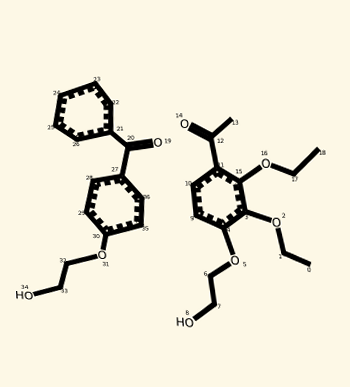 CCOc1c(OCCO)ccc(C(C)=O)c1OCC.O=C(c1ccccc1)c1ccc(OCCO)cc1